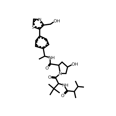 CC(NC(=O)C1CC(O)CN1C(=O)C(NC(=O)C(C)C(C)C)C(C)(C)C)c1ccc(-c2scnc2CO)cc1